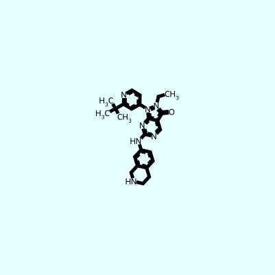 CCn1c(=O)c2cnc(Nc3ccc4c(c3)CNCC4)nc2n1-c1ccnc(C(C)(C)C)c1